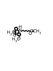 CCOC(=O)CCCCCCNC1c2ccccc2N(C)[S+]([O-])c2cc(SC)ccc21